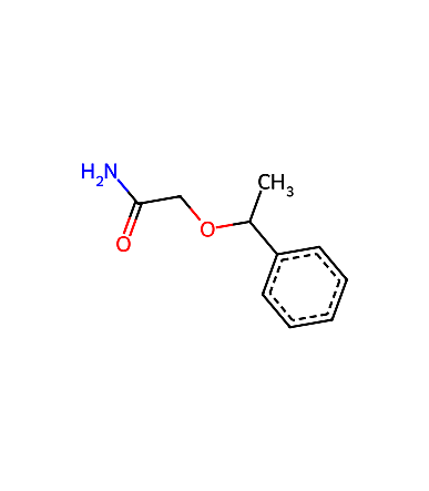 CC(OCC(N)=O)c1ccccc1